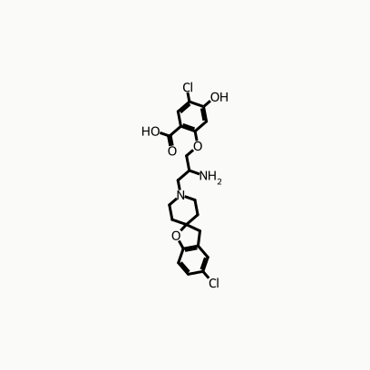 NC(COc1cc(O)c(Cl)cc1C(=O)O)CN1CCC2(CC1)Cc1cc(Cl)ccc1O2